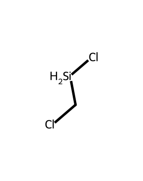 ClC[SiH2]Cl